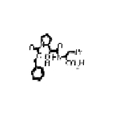 CC(C)C[C@@H](NC(=O)C(O)C1CCCN1C(=O)OCc1ccccc1)C(=O)O